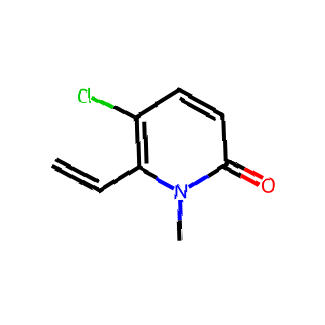 C=Cc1c(Cl)ccc(=O)n1C